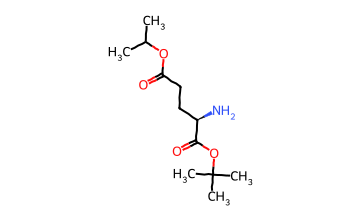 CC(C)OC(=O)CC[C@@H](N)C(=O)OC(C)(C)C